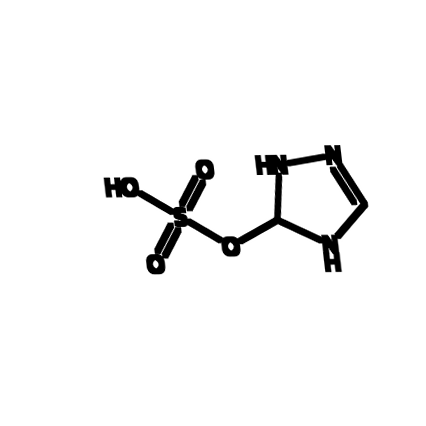 O=S(=O)(O)OC1NC=NN1